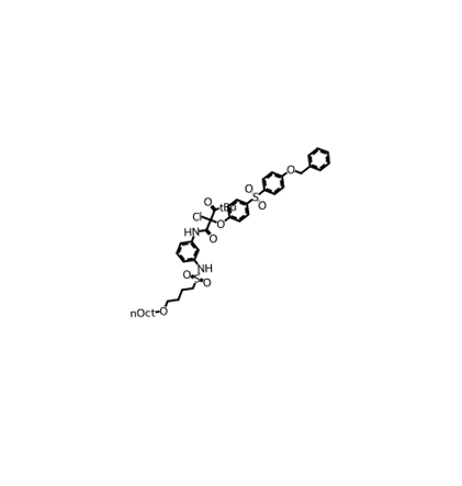 CCCCCCCCOCCCCS(=O)(=O)Nc1cccc(NC(=O)C(Cl)(Oc2ccc(S(=O)(=O)c3ccc(OCc4ccccc4)cc3)cc2)C(=O)C(C)(C)C)c1